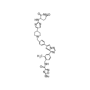 Cc1cc(-c2ncnn3cc(-c4ccc(CN5CCC(c6cnc(NC7CCC(=O)NC7=O)nc6)CC5)cc4)cc23)ccc1CNC(=O)c1noc(C(C)(C)C)n1